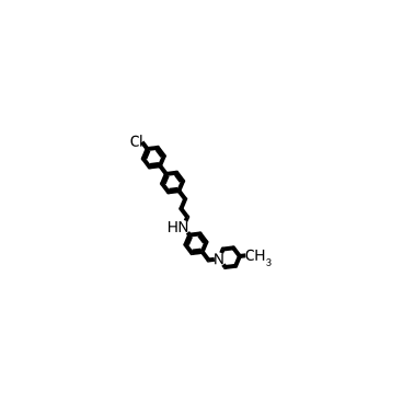 CC1CCN(Cc2ccc(NCCCc3ccc(-c4ccc(Cl)cc4)cc3)cc2)CC1